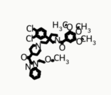 CCOCCn1c(C(=O)C2CCN(CCC3(c4ccc(Cl)c(Cl)c4)CCN(C(=O)c4cc(OC)c(OC)c(OC)c4)C3)CC2)nc2ccccc21